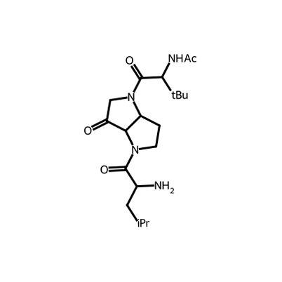 CC(=O)NC(C(=O)N1CC(=O)C2C1CCN2C(=O)C(N)CC(C)C)C(C)(C)C